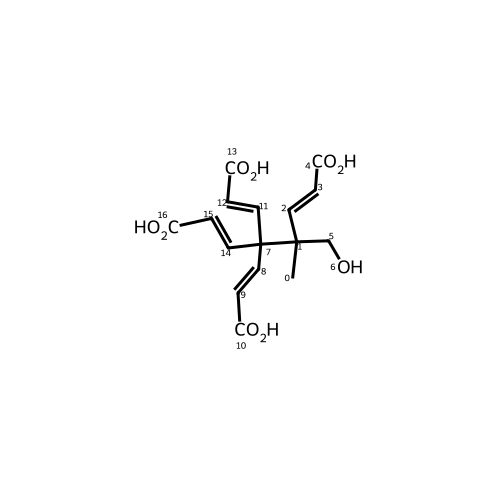 CC(C=CC(=O)O)(CO)C(C=CC(=O)O)(C=CC(=O)O)C=CC(=O)O